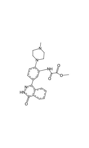 COC(=O)C(=O)Nc1cc(-c2n[nH]c(=O)c3ccccc23)ccc1N1CCN(C)CC1